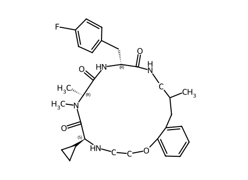 CC1CNC(=O)[C@@H](Cc2ccc(F)cc2)NC(=O)[C@@H](C)N(C)C(=O)[C@H](C2CC2)NCCOc2ccccc2C1